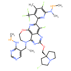 CPNc1ncncc1[C@@H](C)N1CCOc2nc(-c3nc(N(C)PC)c(F)c(C)c3C(F)(F)F)c(F)c3nc(OC[C@@]45CCCN4C[C@H](F)C5)nc1c23